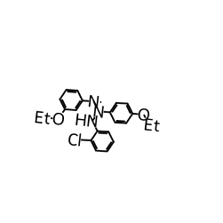 CCOc1ccc(N([N]c2cccc(OCC)c2)Nc2ccccc2Cl)cc1